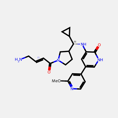 COc1cc(-c2c[nH]c(=O)c(N[C@@H](C3CC3)C3CCN(C(=O)/C=C/CN)C3)c2)ccn1